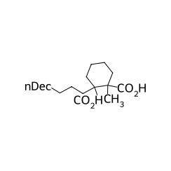 CCCCCCCCCCCCCC1(C(=O)O)CCCCC1(C)C(=O)O